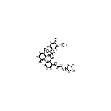 Cl.O=S(=O)(c1ccc(Cl)cc1)N(Cc1ccccc1OCCCN1CCCC1)c1cc(F)ccc1F